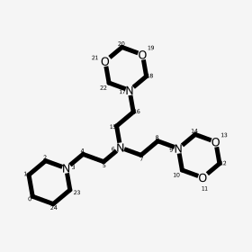 C1CCN(CCN(CCN2COCOC2)CCN2COCOC2)CC1